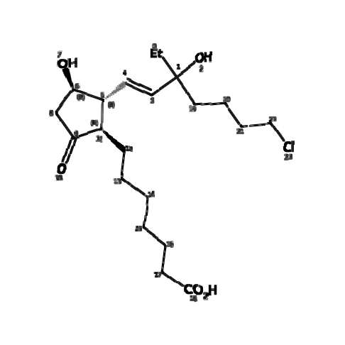 CCC(O)(C=C[C@H]1[C@H](O)CC(=O)[C@@H]1CCCCCCC(=O)O)CCCCCl